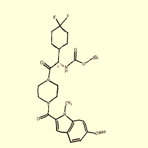 COc1ccc2cc(C(=O)N3CCN(C(=O)[C@@H](NC(=O)OC(C)(C)C)C4CCC(F)(F)CC4)CC3)n(C)c2c1